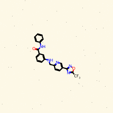 O=C(Nc1ccccc1)c1cccc(NCc2ccc(-c3noc(C(F)(F)F)n3)cn2)c1